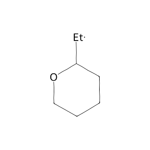 C[CH]C1CCCCO1